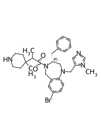 CC(C1(C)CCNCC1)S(=O)(=O)N1Cc2cc(Br)ccc2N(Cc2cncn2C)C[C@H]1Cc1ccccc1